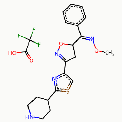 CON=C(c1ccccc1)C1CC(c2csc(C3CCNCC3)n2)=NO1.O=C(O)C(F)(F)F